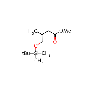 COC(=O)CC(C)CO[Si](C)(C)C(C)(C)C